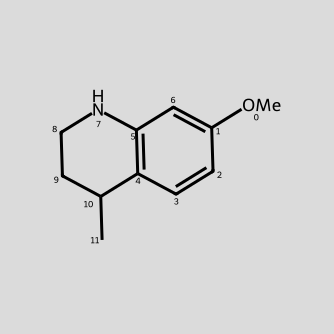 COc1ccc2c(c1)NCCC2C